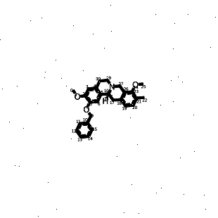 COc1cc2c(cc1OCc1ccccc1)[C@@H]1Cc3ccc(C)c(OC)c3CN1CC2